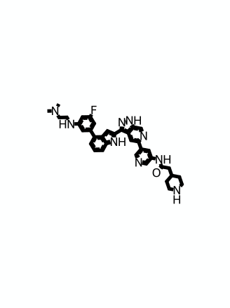 CN(C)CCNc1cc(F)cc(-c2cccc3[nH]c(-c4n[nH]c5cnc(-c6cncc(NC(=O)CC7CCNCC7)c6)cc45)cc23)c1